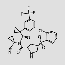 N#CC1(N(C(=O)[C@@H]2C[C@@H](S(=O)(=O)c3ccccc3Cl)CN2)C(=O)C2(c3cccc(C(F)(F)F)c3)CC2)CC1